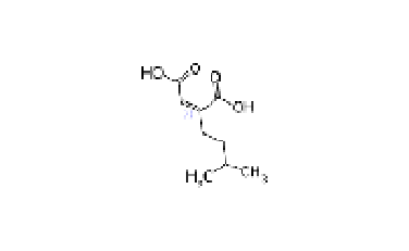 CC(C)CC/C(=C/C(=O)O)C(=O)O